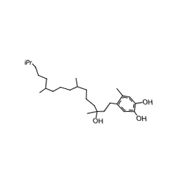 Cc1cc(O)c(O)cc1CCC(C)(O)CCCC(C)CCCC(C)CCCC(C)C